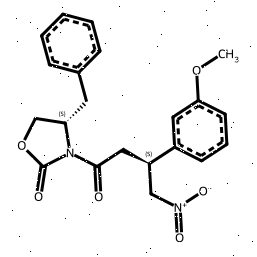 COc1cccc([C@H](CC(=O)N2C(=O)OC[C@@H]2Cc2ccccc2)C[N+](=O)[O-])c1